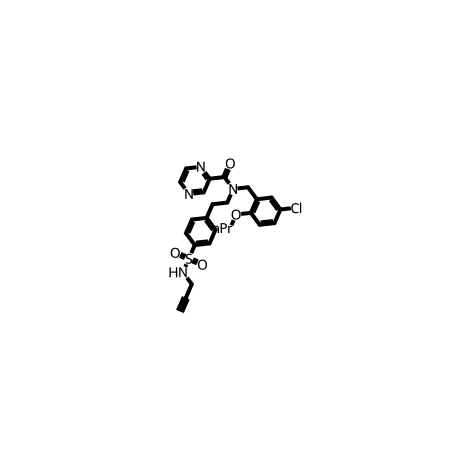 C#CCNS(=O)(=O)c1ccc(CCN(Cc2cc(Cl)ccc2OCCC)C(=O)c2cnccn2)cc1